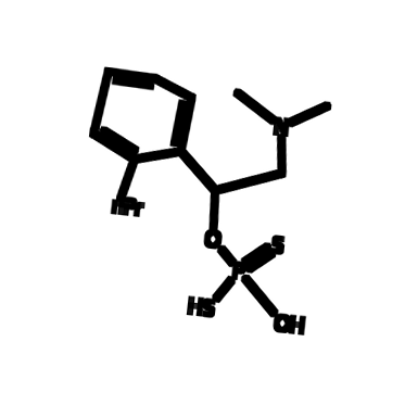 CCCc1ccccc1C(CN(C)C)OP(O)(=S)S